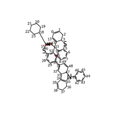 C1=CCC2Sc3ccccc3C3(C2=C1)C1=C(CC(C2CCCCC2)CC1)Sc1ccc(C2=CC4C5=C(CCC=C5)N(c5ccccc5)C4C=C2)cc13